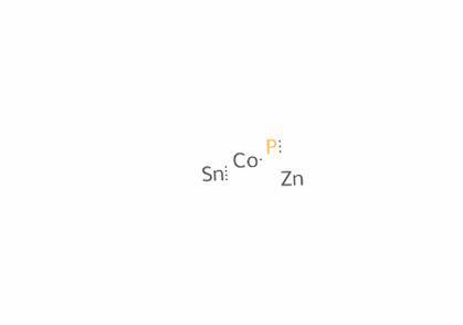 [Co].[P].[Sn].[Zn]